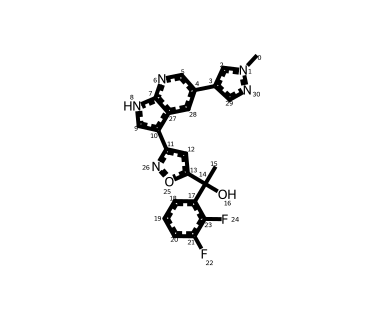 Cn1cc(-c2cnc3[nH]cc(-c4cc(C(C)(O)c5cccc(F)c5F)on4)c3c2)cn1